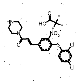 O=C(C=Cc1ccc(Sc2ccc(Cl)cc2Cl)c([N+](=O)[O-])c1)N1CCNCC1.O=C(O)C(F)(F)F